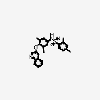 Cc1ccc(S(=O)(=O)Nc2cc(C)c(Oc3cnc4ccccc4c3)c(C)c2)c(C)c1